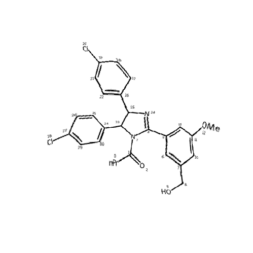 CCCC(=O)N1C(c2cc(CO)cc(OC)c2)=NC(c2ccc(Cl)cc2)C1c1ccc(Cl)cc1